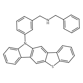 c1ccc(CNCc2cccc(-n3c4ccccc4c4cc5sc6ccccc6c5cc43)c2)cc1